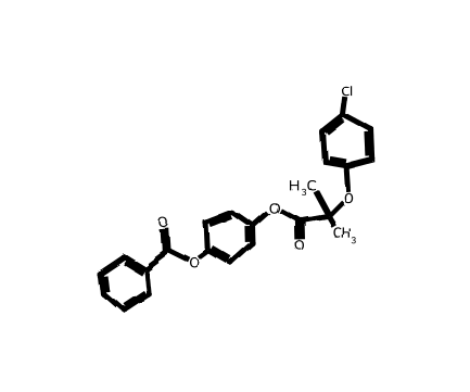 CC(C)(Oc1ccc(Cl)cc1)C(=O)Oc1ccc(OC(=O)c2ccccc2)cc1